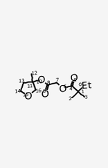 CCC(C)(C)C(=O)OCC(=O)OC1(C)CCOC1